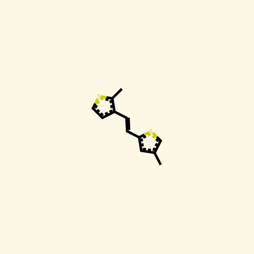 Cc1csc(C=Cc2ccsc2C)c1